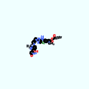 CNC(=O)COc1cc2cc(Nc3nc(N4CCCC5(CCCN(c6cccc7c(C8CCC(=O)NC8O)nn(C)c67)C5)C4)ncc3Cl)ccc2n(C)c1=O